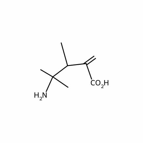 C=C(C(=O)O)C(C)C(C)(C)N